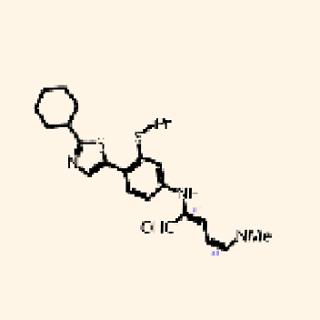 CN/C=C\C=C(/C=O)Nc1ccc(-c2cnc(C3CCCCC3)s2)c(SC(C)C)c1